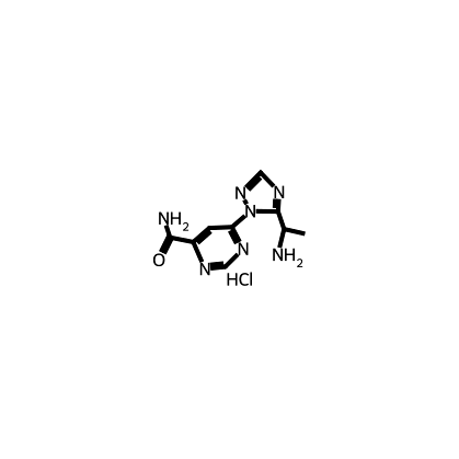 CC(N)c1ncnn1-c1cc(C(N)=O)ncn1.Cl